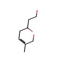 CC1=CCC(CCO)OC1